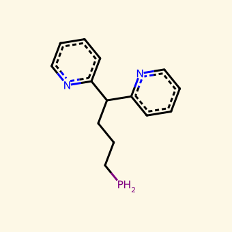 PCCCC(c1ccccn1)c1ccccn1